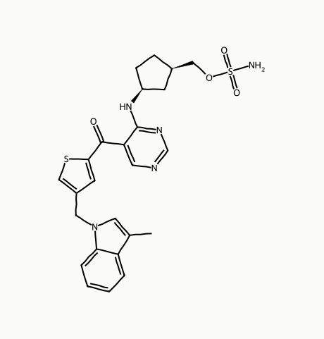 Cc1cn(Cc2csc(C(=O)c3cncnc3N[C@H]3CC[C@@H](COS(N)(=O)=O)C3)c2)c2ccccc12